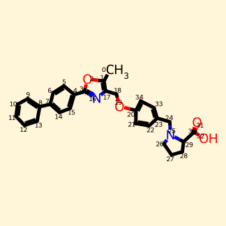 Cc1oc(-c2ccc(-c3ccccc3)cc2)nc1COc1ccc(CN2CCCC2C(=O)O)cc1